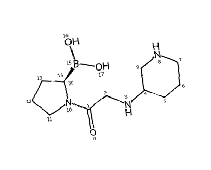 O=C(CNC1CCCNC1)N1CCC[C@H]1B(O)O